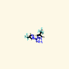 N=C(n1cc(C(F)(F)F)cn1)n1cc(C(F)(F)F)cn1